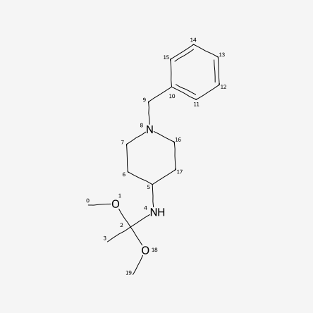 COC(C)(NC1CCN(Cc2ccccc2)CC1)OC